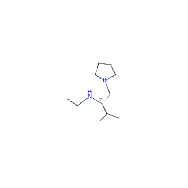 CCN[C@H](CN1CCCC1)C(C)C